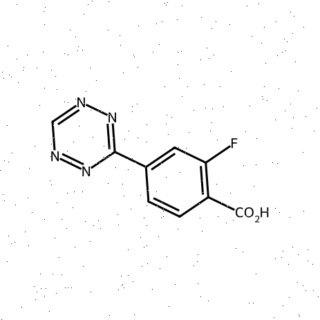 O=C(O)c1ccc(-c2nncnn2)cc1F